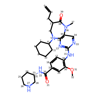 C=CCC1CN(C2CCCCC2)c2nc(Nc3ccc(C(=O)N[C@H]4CCCNC4)cc3OC)ncc2N(C)C1=O